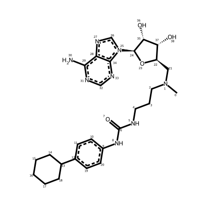 CN(CCCNC(=O)Nc1ccc(C2CCCCC2)cc1)C[C@H]1O[C@@H](n2cnc3c(N)ncnc32)[C@H](O)[C@@H]1O